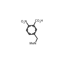 CNCc1ccc([N+](=O)[O-])c(C(=O)O)c1